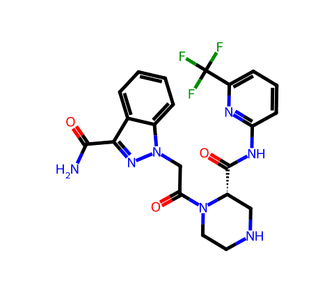 NC(=O)c1nn(CC(=O)N2CCNC[C@H]2C(=O)Nc2cccc(C(F)(F)F)n2)c2ccccc12